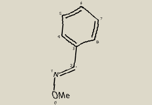 CON=[C]c1ccccc1